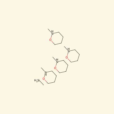 C[SiH3].C[SiH]1CCCCO1.C[SiH]1CCCCO1.C[SiH]1CCCCO1.C[SiH]1CCCCO1